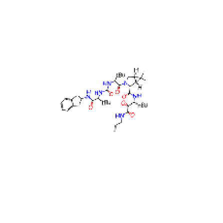 C=CCNC(=O)C(=O)C(CCCC)NC(=O)[C@@H]1[C@@H]2[C@H](CN1C(=O)[C@@H](NC(=O)N[C@H](C(=O)NC1Cc3ccccc3C1)C(C)(C)C)C(C)(C)C)C2(C)C